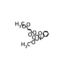 CCOC(=O)CN(Cc1ccccc1)C(=O)COC(=O)/C=C/C(=O)OC